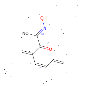 C=C/C=C\C(=C)C(=O)/C(C#N)=N/O